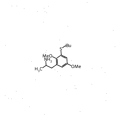 CCC(C)Sc1cc(OC)cc(CC(C)N)c1OC